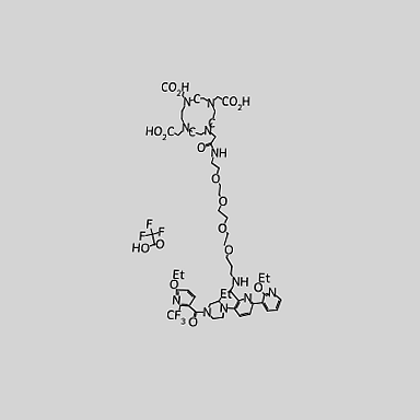 CCOc1ccc(C(=O)N2CCN(c3ccc(-c4cccnc4OCC)nc3CNCCCOCCOCCOCCOCCNC(=O)CN3CCN(CC(=O)O)CCN(CC(=O)O)CCN(CC(=O)O)CC3)[C@H](CC)C2)c(C(F)(F)F)n1.O=C(O)C(F)(F)F